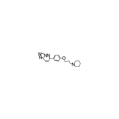 c1cc(-c2ccc3nncn3n2)ccc1OCCCN1CCCCC1